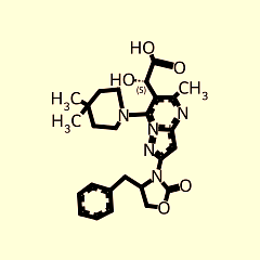 Cc1nc2cc(N3C(=O)OCC3Cc3ccccc3)nn2c(N2CCC(C)(C)CC2)c1[C@H](O)C(=O)O